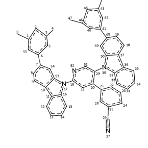 Cc1cc(C)cc(-c2ccc3c4ccccc4n(-c4cc(-c5cccc(C#N)c5)c(-n5c6ccccc6c6ccc(-c7cc(C)cc(C)c7)cc65)cn4)c3c2)c1